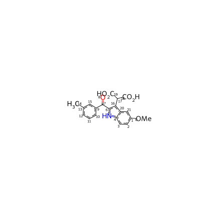 COc1ccc2[nH]c(C(=O)c3cccc(C)c3)c(C(C(=O)O)C(=O)O)c2c1